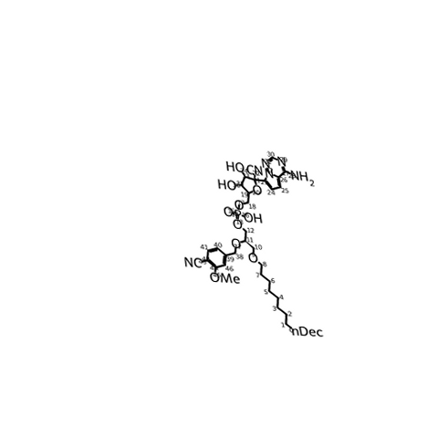 CCCCCCCCCCCCCCCCCCOC[C@H](COP(=O)(O)OCC1O[C@@](C#N)(c2ccc3c(N)ncnn23)[C@H](O)[C@@H]1O)OCc1ccc(C#N)c(OC)c1